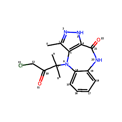 Cc1n[nH]c2c1N(C(C)(C)C(=O)CCl)c1ccccc1NC2=O